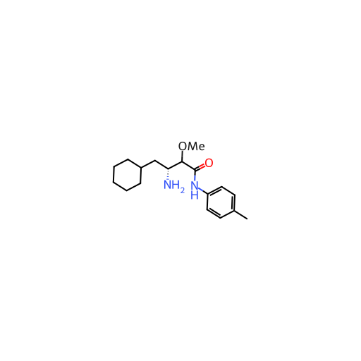 COC(C(=O)Nc1ccc(C)cc1)[C@H](N)CC1CCCCC1